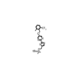 Cc1cccc(C(F)(F)F)c1COc1cnc(-n2ncc(CO[Si](C)(C)C(C)(C)C)n2)nc1